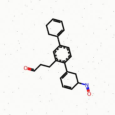 O=CCCc1cc(C2=CC=CCC2)ccc1C1=CC=CC(N=O)C1